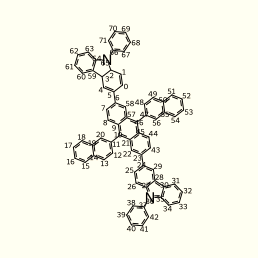 C1=CC2C(C=C1c1ccc3c(-c4ccc5ccccc5c4)c4cc(-c5ccc6c(c5)c5ccccc5n6-c5ccccc5)ccc4c(-c4ccc5ccccc5c4)c3c1)c1ccccc1N2c1ccccc1